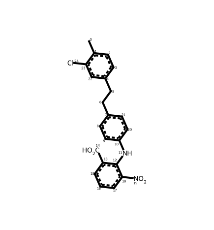 Cc1ccc(CCc2ccc(Nc3c(C(=O)O)cccc3[N+](=O)[O-])cc2)cc1Cl